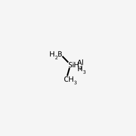 B[SiH2]C.[AlH3]